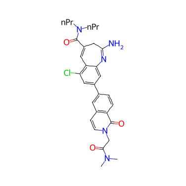 CCCN(CCC)C(=O)C1=Cc2c(Cl)cc(-c3ccc4c(=O)n(CC(=O)N(C)C)ccc4c3)cc2N=C(N)C1